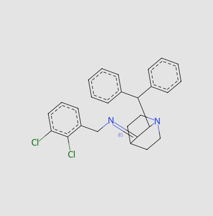 Clc1cccc(C/N=C2\C3CCN(CC3)C2C(c2ccccc2)c2ccccc2)c1Cl